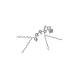 CCCCCCCCCCCCC(CCCCCCCCCC)Cc1cc(C)sc1-c1ccc(-c2ccc(-c3sc(-c4c(F)cc(C)c5nnsc45)cc3CC(CCCCCCCCCC)CCCCCCCCCCCC)s2)s1